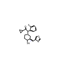 O=C(C1CC1)C(c1ccccc1F)N1CCC(S)/C(=C/c2cocn2)C1